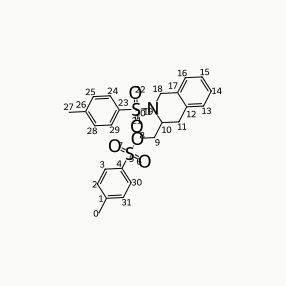 Cc1ccc(S(=O)(=O)OCC2Cc3ccccc3CN2S(=O)(=O)c2ccc(C)cc2)cc1